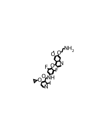 COc1cc2c(Oc3c(F)cc(NC(=O)c4c(OC5CC5)ccnc4I)cc3F)ccnc2cc1OCCN